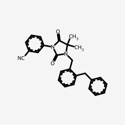 CC1(C)C(=O)N(c2cccc(C#N)c2)C(=O)N1Cc1ccccc1Cc1ccccc1